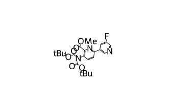 COC(=O)c1nc(-c2cncc(F)c2)ccc1N(C(=O)OC(C)(C)C)C(=O)OC(C)(C)C